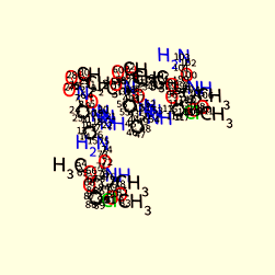 CCCCC(=O)N(Cc1ccc(-c2ccccc2-c2nnn[nH]2)cc1)[C@H](C(=O)O)C(C)C.CCCCC(=O)N(Cc1ccc(-c2ccccc2-c2nnn[nH]2)cc1)[C@H](C(=O)O)C(C)C.CCOC(=O)C1=C(COCCN)NC(C)=C(C(=O)OC)C1c1ccccc1Cl.CCOC(=O)C1=C(COCCN)NC(C)=C(C(=O)OC)C1c1ccccc1Cl